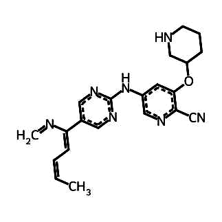 C=N/C(=C\C=C/C)c1cnc(Nc2cnc(C#N)c(OC3CCCNC3)c2)nc1